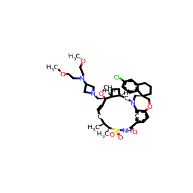 COCCN(CCOC)C1CN(C[C@]2(OC)/C=C/C[C@H](C)[C@@H](C)S(=O)(=O)NC(=O)c3ccc4c(c3)N(C[C@@H]3CC[C@H]32)C[C@@]2(CCCc3cc(Cl)ccc32)CO4)C1